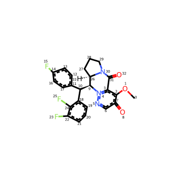 COc1c2n(ncc1=O)[C@@H](C(c1ccc(F)cc1)c1cccc(F)c1F)[C@H]1CCCN1C2=O